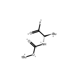 CC[C@H](C)[C@H](NC(=O)OC(C)(C)C)C(=O)F